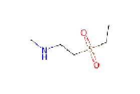 CCS(=O)(=O)CCNC